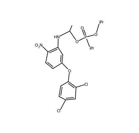 CC(C)OP(=O)(OC(C)Nc1cc(Oc2ccc(Cl)cc2Cl)ccc1[N+](=O)[O-])C(C)C